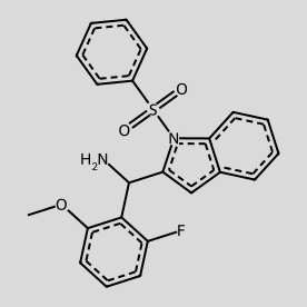 COc1cccc(F)c1C(N)c1cc2ccccc2n1S(=O)(=O)c1ccccc1